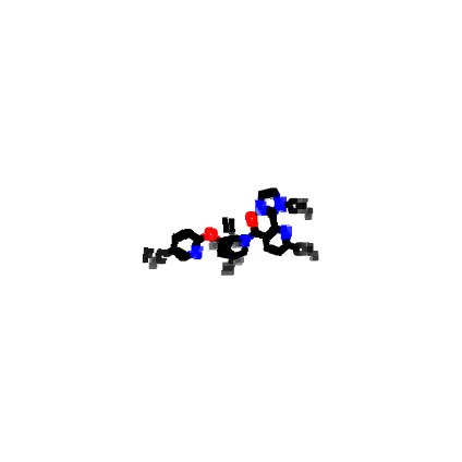 Cc1ccc(C(=O)N2C[C@H]3C[C@@H](Oc4ccc(C(F)(F)F)cn4)[C@@H]2C3)c(-c2nccn2C)n1